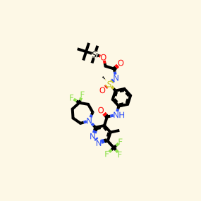 Cc1c(C(F)(F)F)nnc(N2CCCC(F)(F)CC2)c1C(=O)Nc1cccc([S@@](C)(=O)=NC(=O)CO[Si](C)(C)C(C)(C)C)c1